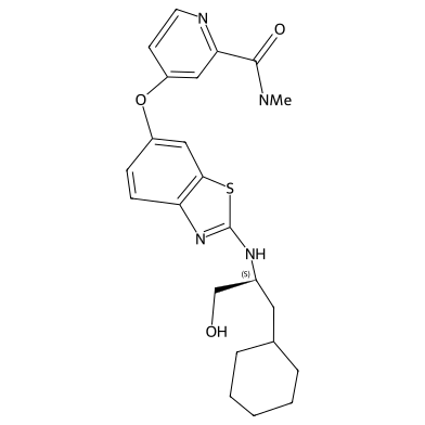 CNC(=O)c1cc(Oc2ccc3nc(N[C@H](CO)CC4CCCCC4)sc3c2)ccn1